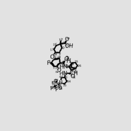 COc1cc(F)c(OC2CCC(C)(C(=O)O)CC2)cc1C(=O)N[C@@H]1[C@H]2CC[C@H](C2)[C@@H]1C(=O)NC1CCN(S(=O)(=O)C(F)(F)F)C1